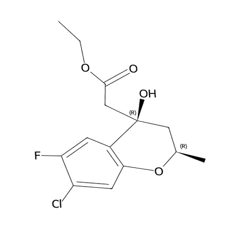 CCOC(=O)C[C@]1(O)C[C@@H](C)Oc2cc(Cl)c(F)cc21